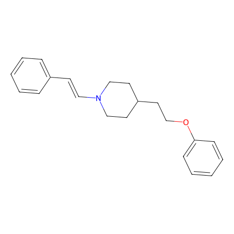 C(=CN1CCC(CCOc2ccccc2)CC1)c1ccccc1